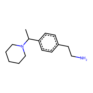 CC(c1ccc(CCN)cc1)N1CCCCC1